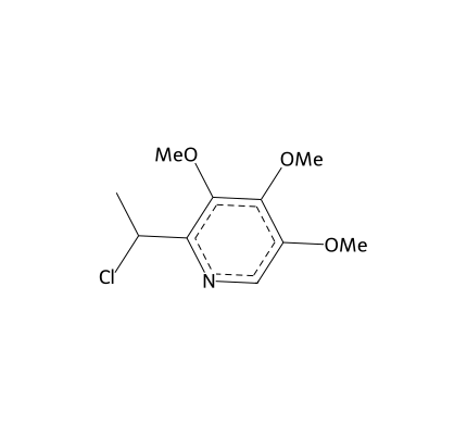 COc1cnc(C(C)Cl)c(OC)c1OC